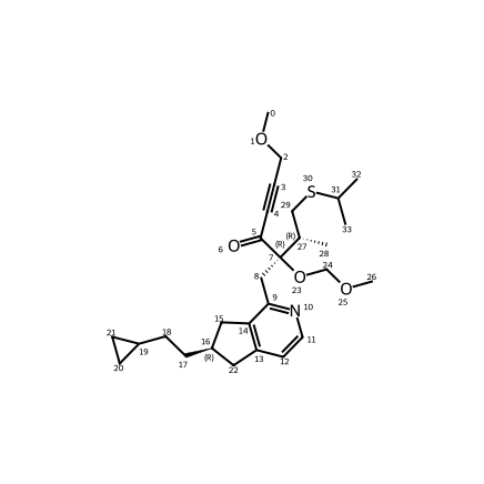 COCC#CC(=O)[C@](Cc1nccc2c1C[C@H](CCC1CC1)C2)(OCOC)[C@@H](C)CSC(C)C